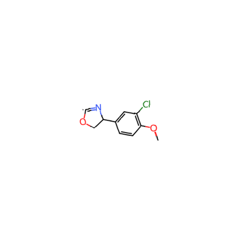 COc1ccc(C2CO[C]=N2)cc1Cl